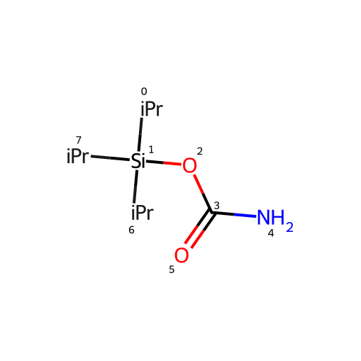 CC(C)[Si](OC(N)=O)(C(C)C)C(C)C